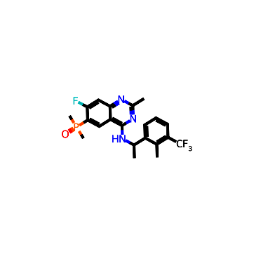 Cc1nc(NC(C)c2cccc(C(F)(F)F)c2C)c2cc(P(C)(C)=O)c(F)cc2n1